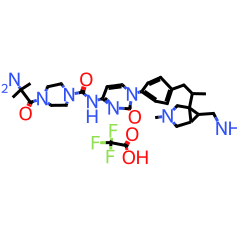 CC(Cc1ccc(-n2ccc(NC(=O)N3CCN(C(=O)C(C)(C)N)CC3)nc2=O)cc1)C12CN(C)CC1C2CN.O=C(O)C(F)(F)F